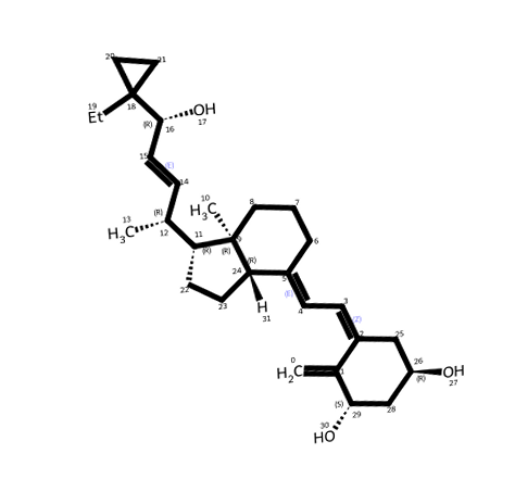 C=C1/C(=C\C=C2/CCC[C@]3(C)[C@@H]([C@H](C)/C=C/[C@@H](O)C4(CC)CC4)CC[C@@H]23)C[C@@H](O)C[C@@H]1O